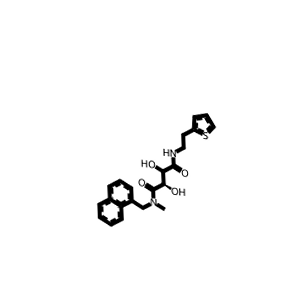 CN(Cc1cccc2ccccc12)C(=O)[C@H](O)C(O)C(=O)NCCc1cccs1